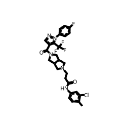 Cc1ccc(NC(=O)CCN2CC3CN(C(=O)c4cnn(-c5ccc(F)cc5)c4C(F)(F)F)CC3C2)cc1Cl